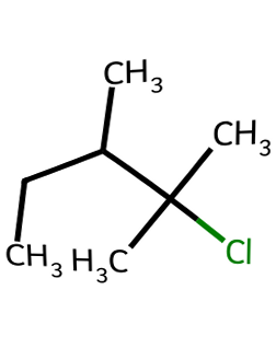 CCC(C)C(C)(C)Cl